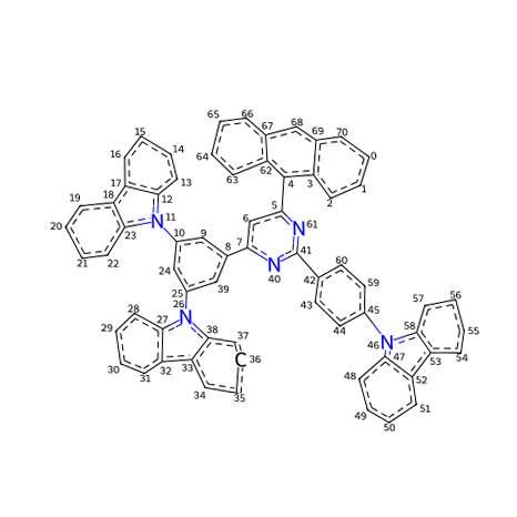 c1ccc2c(-c3cc(-c4cc(-n5c6ccccc6c6ccccc65)cc(-n5c6ccccc6c6ccccc65)c4)nc(-c4ccc(-n5c6ccccc6c6ccccc65)cc4)n3)c3ccccc3cc2c1